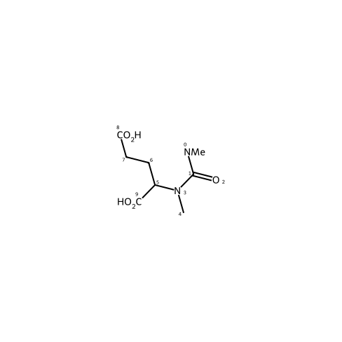 CNC(=O)N(C)C(CCC(=O)O)C(=O)O